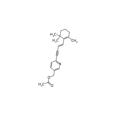 CC(=O)OCc1ccc(C#CC=CC2=C(C)CCCC2(C)C)nc1